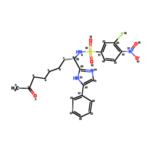 CC(=O)CCCCC[C@H](NS(=O)(=O)c1ccc([N+](=O)[O-])c(F)c1)c1ncc(-c2ccccc2)[nH]1